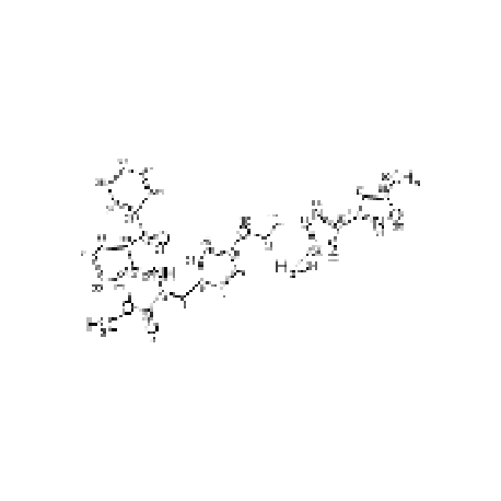 COC(=O)[C@H](Cc1ccc(OCCc2nc(-c3cc(C)on3)sc2C)cc1)Nc1ccccc1C(=O)c1ccccc1